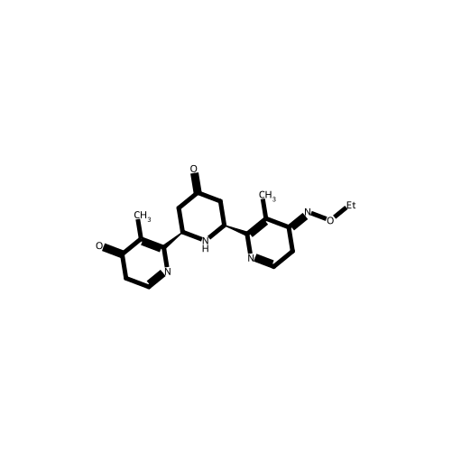 CCON=C1CC=NC([C@@H]2CC(=O)C[C@H](C3=C(C)C(=O)CC=N3)N2)=C1C